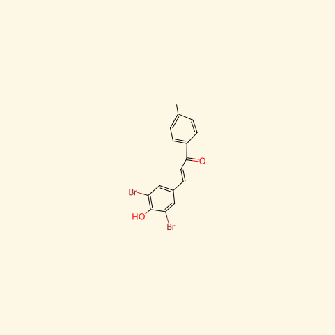 Cc1ccc(C(=O)/C=C/c2cc(Br)c(O)c(Br)c2)cc1